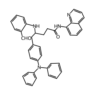 O=Cc1ccccc1NC(CCC(=O)Nc1cccc2cccnc12)Cc1ccc(N(c2ccccc2)c2ccccc2)cc1